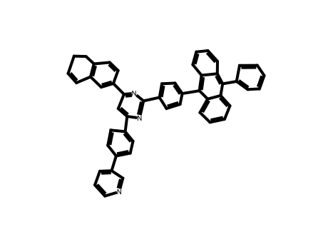 C1=Cc2cc(-c3cc(-c4ccc(-c5cccnc5)cc4)nc(-c4ccc(-c5c6ccccc6c(-c6ccccc6)c6ccccc56)cc4)n3)ccc2CC1